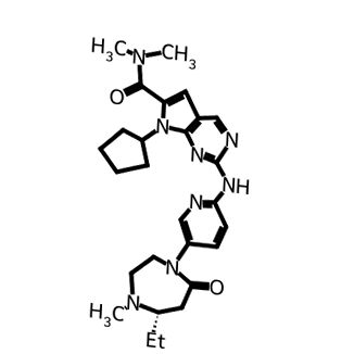 CC[C@H]1CC(=O)N(c2ccc(Nc3ncc4cc(C(=O)N(C)C)n(C5CCCC5)c4n3)nc2)CCN1C